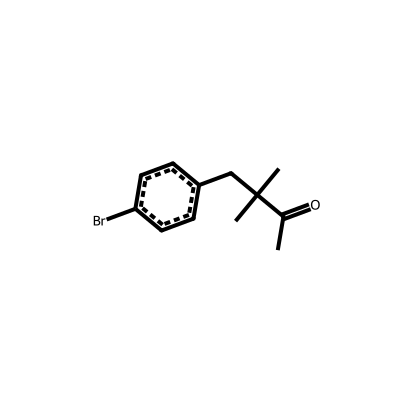 CC(=O)C(C)(C)Cc1ccc(Br)cc1